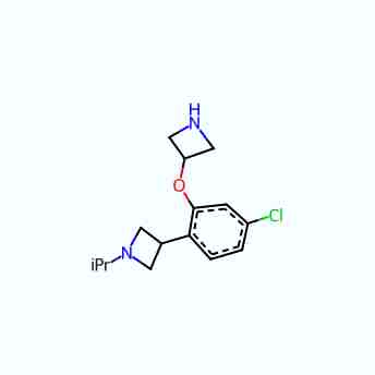 CC(C)N1CC(c2ccc(Cl)cc2OC2CNC2)C1